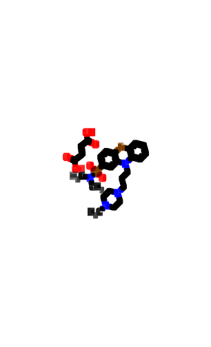 CN1CCN(CCCN2c3ccccc3Sc3ccc(S(=O)(=O)N(C)C)cc32)CC1.O=C(O)C=CC(=O)O